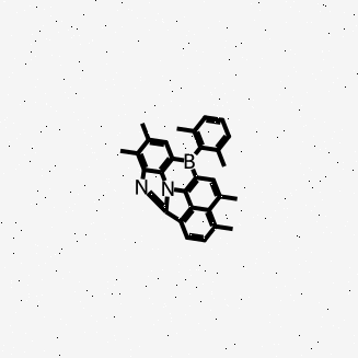 Cc1cccc(C)c1B1c2cc(C)c(C)c3nc4c5ccc(C)c6c(C)cc1c(c65)n4c23